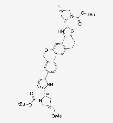 COC[C@H]1C[C@@H](c2ncc(-c3ccc4c(c3)COc3cc5c(cc3-4)CCc3nc([C@@H]4C[C@H](C)CN4C(=O)OC(C)(C)C)[nH]c3-5)[nH]2)N(C(=O)OC(C)(C)C)C1